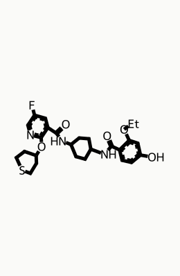 CCOc1cc(O)ccc1C(=O)NC1CCC(NC(=O)c2cc(F)cnc2OC2CCSCC2)CC1